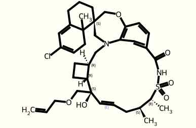 C=CCOC[C@@]1(O)/C=C/C[C@H](C)[C@@H](C)S(=O)(=O)NC(=O)c2ccc3c(c2)N(C[C@@H]2CC[C@H]21)C[C@@]1(CCCC2=CC(Cl)=CCC21C)CO3